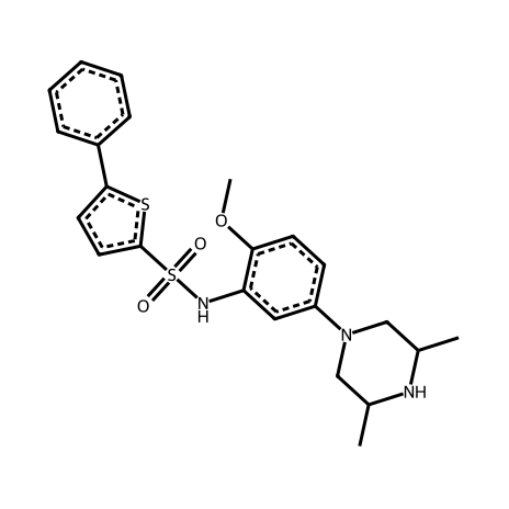 COc1ccc(N2CC(C)NC(C)C2)cc1NS(=O)(=O)c1ccc(-c2ccccc2)s1